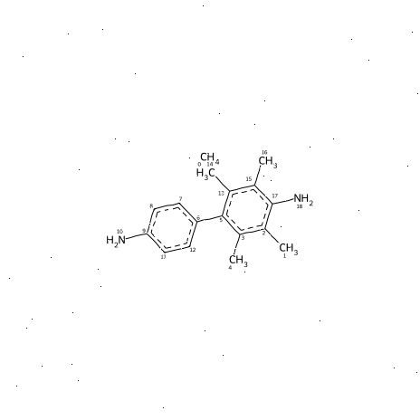 C.Cc1c(C)c(-c2ccc(N)cc2)c(C)c(C)c1N